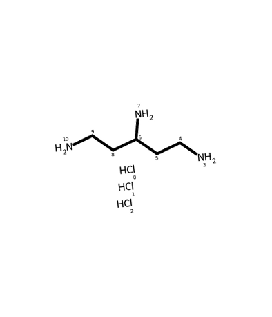 Cl.Cl.Cl.NCCC(N)CCN